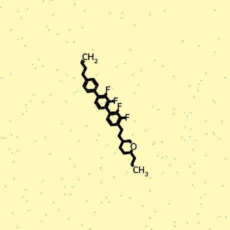 C=CCCc1ccc(-c2ccc(-c3ccc(CCC4CCC(CCC)OC4)c(F)c3F)c(F)c2F)cc1